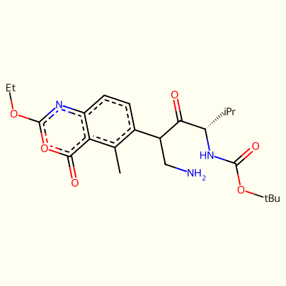 CCOc1nc2ccc(C(CN)C(=O)[C@@H](NC(=O)OC(C)(C)C)C(C)C)c(C)c2c(=O)o1